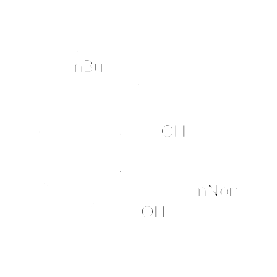 CCCCCCCCCCC1(O)CCCC(CCCC)C1(C)O